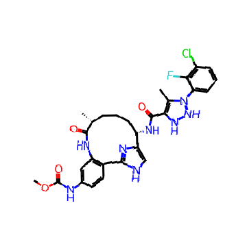 COC(=O)Nc1ccc2c(c1)NC(=O)[C@H](C)CCC[C@H](NC(=O)C1=C(C)N(c3cccc(Cl)c3F)NN1)c1c[nH]c-2n1